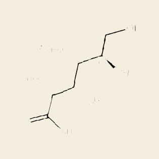 O=C(S)[C@H](O)[C@@H](O)[C@H](O)[C@H](O)CO.[Au]